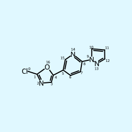 Clc1ncc(-c2ccc(-n3cccn3)nc2)o1